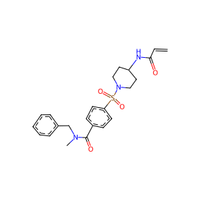 C=CC(=O)NC1CCN(S(=O)(=O)c2ccc(C(=O)N(C)Cc3ccccc3)cc2)CC1